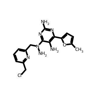 Cc1ccc(-c2nc(N)nc(N(N)Cc3cccc(CCl)n3)c2N)o1